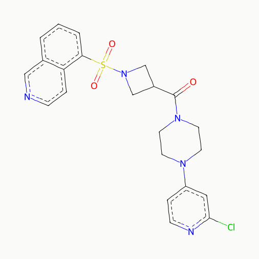 O=C(C1CN(S(=O)(=O)c2cccc3cnccc23)C1)N1CCN(c2ccnc(Cl)c2)CC1